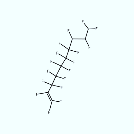 FC(F)=C(F)C(F)(F)C(F)(F)C(F)(F)C(F)(F)C(F)(F)C(F)C(F)C(F)F